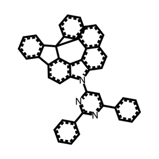 c1ccc(-c2cc(-n3c4ccc5c6c4c4c7c(cccc7ccc43)C6(c3ccccc3)c3ccccc3-5)nc(-c3ccccc3)n2)cc1